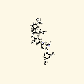 C=C/C(=N\C(=C/C)OCc1ccc(C#N)cc1F)c1ccc(Cc2nc3ccc(C(=O)O)cc3n2CC2(C)CC2)c(F)c1